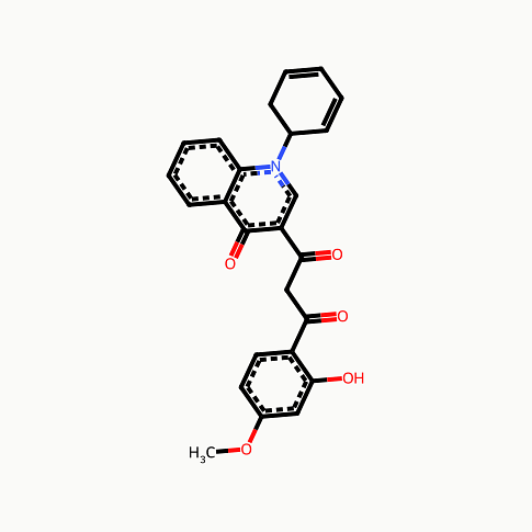 COc1ccc(C(=O)CC(=O)c2cn(C3C=CC=CC3)c3ccccc3c2=O)c(O)c1